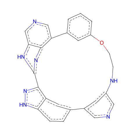 c1cc2cc(c1)-c1cncc3[nH]c(nc13)-c1n[nH]c3ccc(cc13)-c1cncc(c1)NCCO2